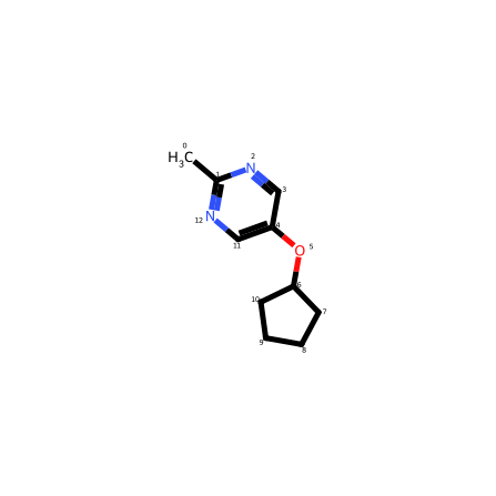 Cc1ncc(OC2CCCC2)cn1